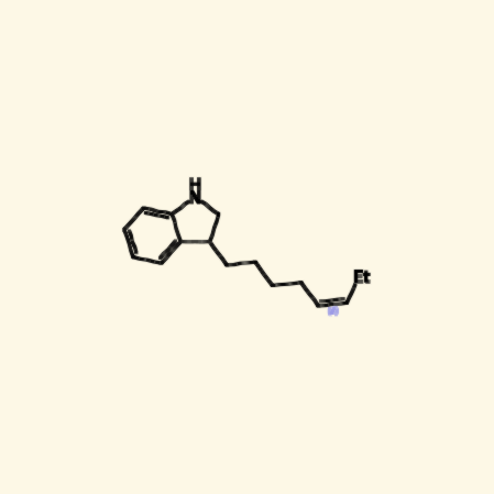 CC/C=C\CCCCC1CNc2ccccc21